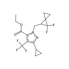 CCOC(=O)c1c(C(F)(F)F)c(C2CC2)nn1CC1C(F)(F)C12CC2